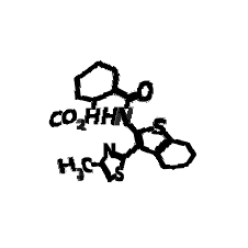 Cc1csc(-c2c(NC(=O)C3CCCCC3C(=O)O)sc3c2CCCC3)n1